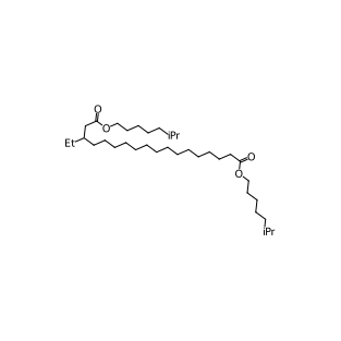 CCC(CCCCCCCCCCCCCCC(=O)OCCCCCC(C)C)CC(=O)OCCCCCC(C)C